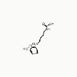 CCl.NCCCCNC(=O)O.c1ccccc1